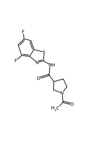 CC(=O)N1CCC(C(=O)Nc2nc3c(F)cc(F)cc3s2)C1